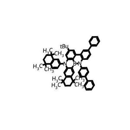 CC(C)(C)c1cc2c3c(c1)N(c1ccc4c(c1)C(C)(C)CCC4(C)C)c1cc4c(cc1B3N(c1ccc(-c3ccccc3)cc1)c1ccc(-c3ccccc3)cc1-2)C(C)(C)CCC4(C)C